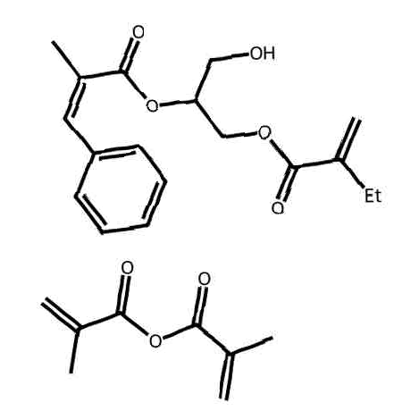 C=C(C)C(=O)OC(=O)C(=C)C.C=C(CC)C(=O)OCC(CO)OC(=O)C(C)=Cc1ccccc1